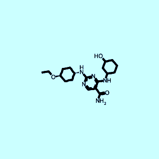 CCO[C@H]1CC[C@H](Nc2ncc(C(N)=O)c(NC3CCCC(O)C3)n2)CC1